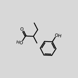 CCC(C)C(=O)O.Oc1ccccc1